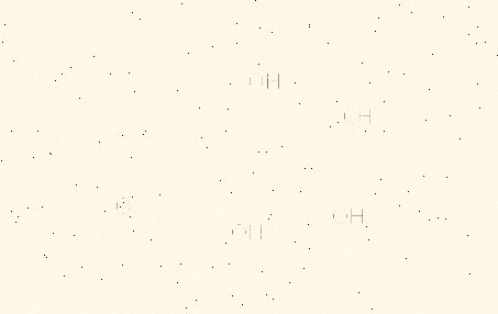 CC(O)C(O)C(O)C=O